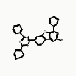 Fc1cc(-c2ccccc2)c2oc3cc(-c4nc(-c5ccccc5)nc(-c5ccccc5)n4)ccc3c2c1